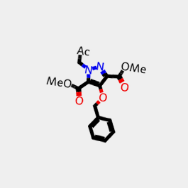 COC(=O)c1nn(CC(C)=O)c(C(=O)OC)c1OCc1ccccc1